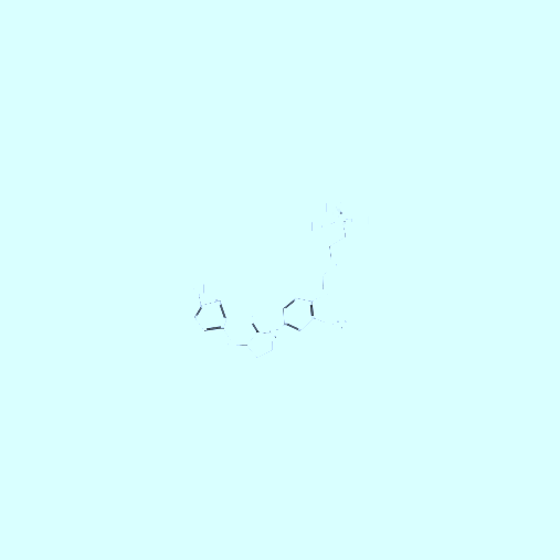 COc1cc(N2CCC(Oc3ccc(C)cc3)C2=O)ccc1OCOCC[Si](C)(C)C